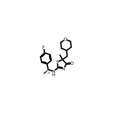 C[C@H](NC1=NC(=O)C(C)(CC2CCOCC2)S1)c1ccc(F)cc1